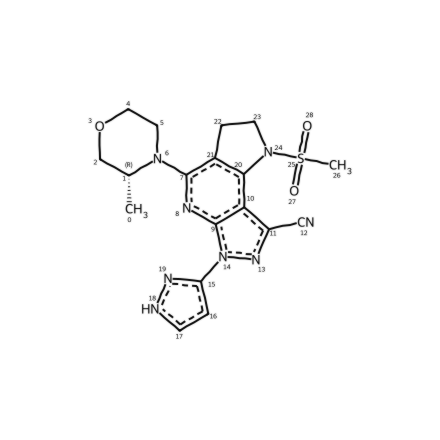 C[C@@H]1COCCN1c1nc2c(c(C#N)nn2-c2cc[nH]n2)c2c1CCN2S(C)(=O)=O